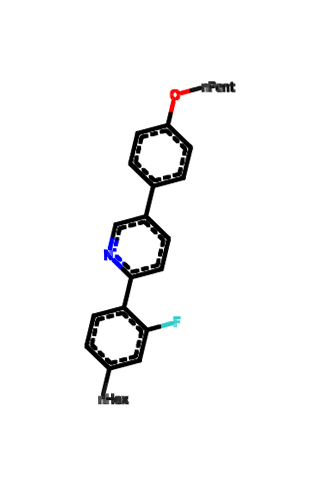 CCCCCCc1ccc(-c2ccc(-c3ccc(OCCCCC)cc3)cn2)c(F)c1